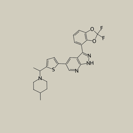 CC1CCN(C(C)c2ccc(-c3cnc4[nH]nc(-c5cccc6c5OC(F)(F)O6)c4c3)s2)CC1